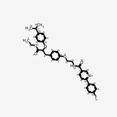 CCOC(=O)C(Cc1ccc(OCCNC(=O)c2ccc(-c3ccc(F)cc3)nc2)cc1)Oc1ccc(C(C)C)cc1